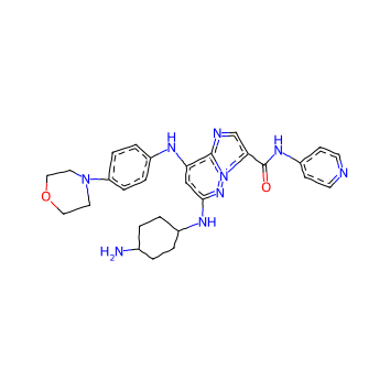 NC1CCC(Nc2cc(Nc3ccc(N4CCOCC4)cc3)c3ncc(C(=O)Nc4ccncc4)n3n2)CC1